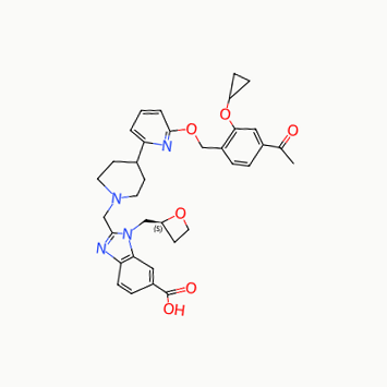 CC(=O)c1ccc(COc2cccc(C3CCN(Cc4nc5ccc(C(=O)O)cc5n4C[C@@H]4CCO4)CC3)n2)c(OC2CC2)c1